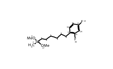 CO[Si](C)(CCCCCCc1ccc(F)cc1F)OC